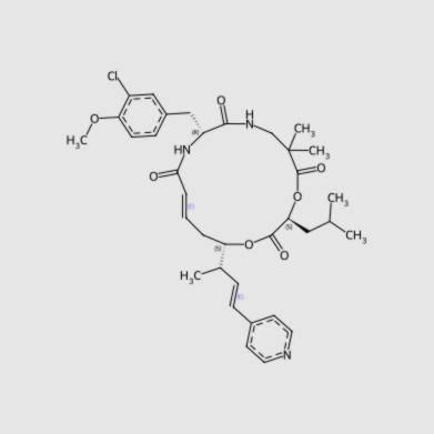 COc1ccc(C[C@H]2NC(=O)/C=C/C[C@@H](C(C)/C=C/c3ccncc3)OC(=O)[C@H](CC(C)C)OC(=O)C(C)(C)CNC2=O)cc1Cl